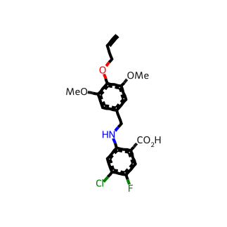 C=CCOc1c(OC)cc(CNc2cc(Cl)c(F)cc2C(=O)O)cc1OC